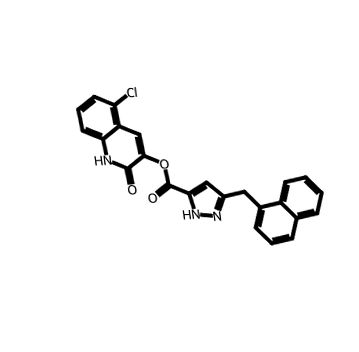 O=C(Oc1cc2c(Cl)cccc2[nH]c1=O)c1cc(Cc2cccc3ccccc23)n[nH]1